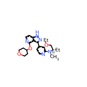 CCOC[C@H](CC)N(C)c1cc(-c2n[nH]c3ccnc(OC4CCOCC4)c23)ccn1